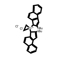 CCCCC1=Cc2c(ccc3ccccc23)[CH]1[Ti+2]1([CH]2C(CCCC)=Cc3c2ccc2ccccc32)[CH2][CH2]1.[Cl-].[Cl-]